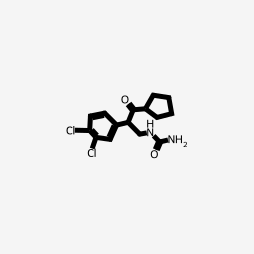 NC(=O)NCC(C(=O)C1CCCC1)c1ccc(Cl)c(Cl)c1